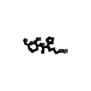 CC(=O)C[C@H]1C=CC[C@H](NC(=O)/C(=N/OCC(=O)O)c2cccs2)B(O)O1